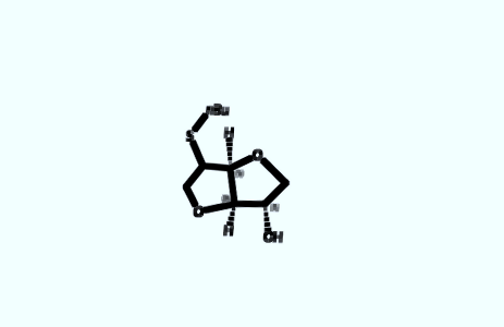 CCCCSC1CO[C@H]2[C@@H]1OC[C@@H]2O